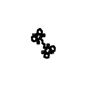 O=C1N(CCCCN2C(=O)C3(CCCCC3)NC3(CCCCC3)C2=O)C(=O)C2(CCCCC2)NC12CCCCC2